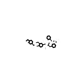 CS(=O)(=O)c1cccc(CC(NC(=O)c2c(Cl)cc3c(c2Cl)CCN(C(=O)c2ccc4ccoc4c2)C3)C(=O)OCc2ccccc2)c1